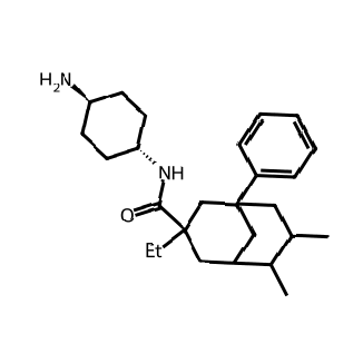 CCC1(C(=O)N[C@H]2CC[C@H](N)CC2)CC2CC(c3ccccc3)(CC(C)C2C)C1